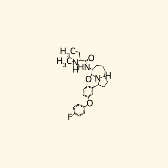 CCC(NC)C(=O)N[C@H]1CCC[C@H]2CC[C@@H](c3cccc(Oc4ccc(F)cc4)c3)N2C1=O